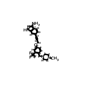 CN1CCN(Cc2ccc(OCC#Cc3ccc4c(N)n[nH]c4c3)cc2C(F)(F)F)CC1